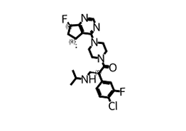 CC(C)NC[C@@H](C(=O)N1CCN(c2ncnc3c2[C@H](C)C[C@H]3F)CC1)c1ccc(Cl)c(F)c1